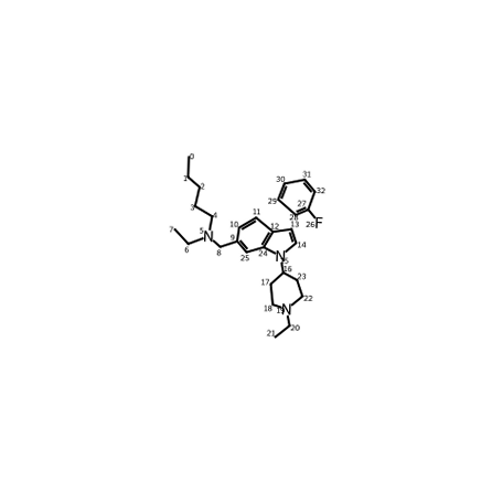 CCCCCN(CC)Cc1ccc2ccn(C3CCN(CC)CC3)c2c1.Fc1ccccc1